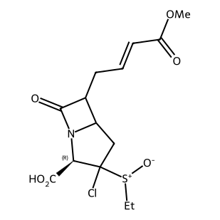 CC[S+]([O-])C1(Cl)CC2C(CC=CC(=O)OC)C(=O)N2[C@@H]1C(=O)O